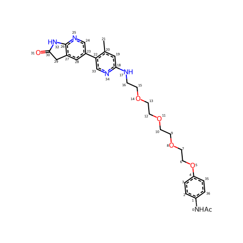 CC(=O)Nc1ccc(OCCOCCOCCOCCNc2cc(C)c(-c3cnc4c(c3)CC(=O)N4)cn2)cc1